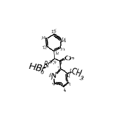 Br.Cc1cccnc1C(=O)C(Br)c1ccccc1